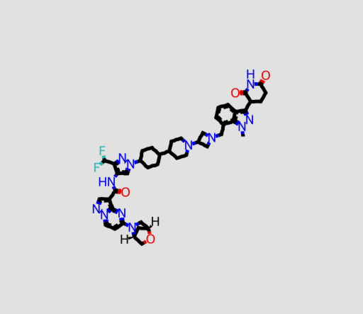 Cn1nc(C2CCC(=O)NC2=O)c2cccc(CN3CC(N4CCC(C5CCC(n6cc(NC(=O)c7cnn8ccc(N9C[C@H]%10C[C@@H]9CO%10)nc78)c(C(F)F)n6)CC5)CC4)C3)c21